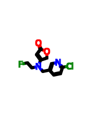 O=C1C=C(N(CCF)Cc2ccc(Cl)nc2)CO1